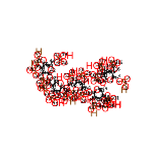 O=[SH](=O)OC[C@H]1O[C@@H](OC[C@H]2O[C@@H](OC[C@@H](OS(=O)(=O)O)[C@@H](OS(=O)(=O)O)[C@H](OS(=O)(=O)O)[C@@H](CO[C@@H]3O[C@H](CO[C@@H]4O[C@H](COS(=O)(=O)O)[C@@H](O[SH](=O)=O)[C@H](O[SH](=O)=O)[C@H]4O[SH](=O)=O)[C@@H](O[SH](=O)=O)[C@H](OS(=O)(=O)O)[C@H]3OS(=O)(=O)O)O[SH](=O)=O)[C@H](O[SH](=O)=O)[C@@H](OS(=O)(=O)O)[C@@H]2OS(=O)(=O)O)[C@H](OS(=O)(=O)O)[C@@H](OS(=O)(=O)O)[C@@H]1OS(=O)(=O)O